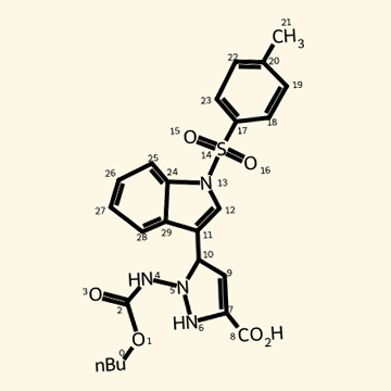 CCCCOC(=O)NN1NC(C(=O)O)=CC1c1cn(S(=O)(=O)c2ccc(C)cc2)c2ccccc12